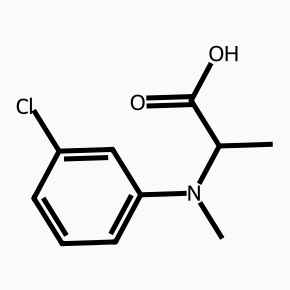 CC(C(=O)O)N(C)c1cccc(Cl)c1